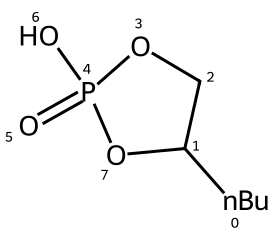 CCCCC1COP(=O)(O)O1